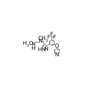 CNCCN(C)Cc1c[nH]nc1-c1cc(Oc2ccncc2)cc(C(F)(F)F)c1